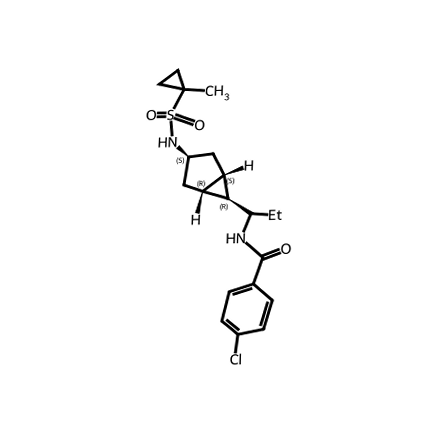 CCC(NC(=O)c1ccc(Cl)cc1)[C@H]1[C@@H]2C[C@@H](NS(=O)(=O)C3(C)CC3)C[C@@H]21